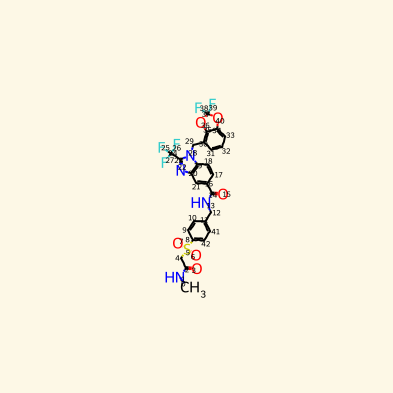 CNC(=O)CS(=O)(=O)c1ccc(CNC(=O)c2ccc3c(c2)nc(C(F)(F)F)n3Cc2cccc3c2OC(F)(F)O3)cc1